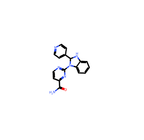 NC(=O)c1ccnc(N2c3ccccc3NC2c2ccncc2)n1